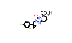 O=C(O)[C@@H]1CCCc2nn(CC3(c4ccc(F)cc4F)CC3)c(=O)n21